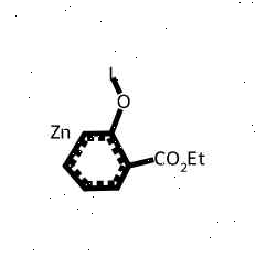 CCOC(=O)c1ccccc1OI.[Zn]